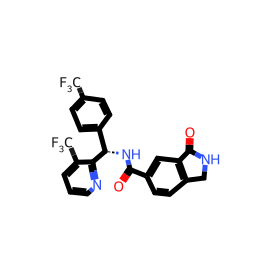 O=C(N[C@@H](c1ccc(C(F)(F)F)cc1)c1ncccc1C(F)(F)F)c1ccc2c(c1)C(=O)NC2